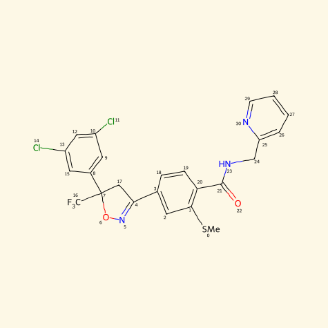 CSc1cc(C2=NOC(c3cc(Cl)cc(Cl)c3)(C(F)(F)F)C2)ccc1C(=O)NCc1ccccn1